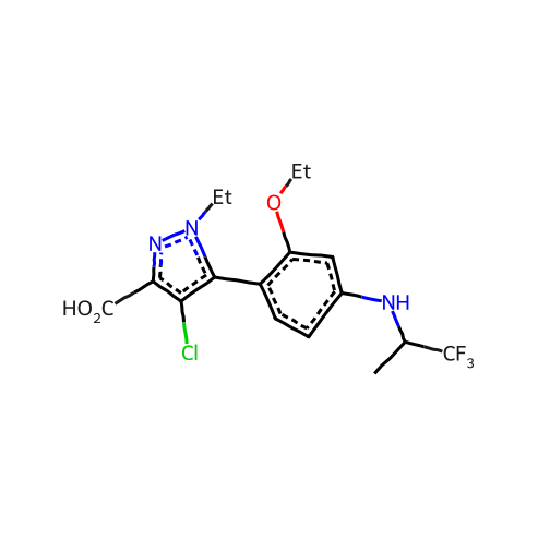 CCOc1cc(NC(C)C(F)(F)F)ccc1-c1c(Cl)c(C(=O)O)nn1CC